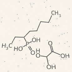 CCCCCC(CC)P(=O)(O)O.O=C(O)C(O)O